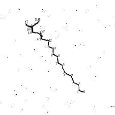 CCCCCCCCCCCCCCCC[C](C)C